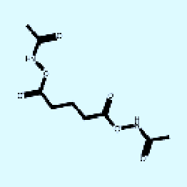 CC(=O)NOC(=O)CCCC(=O)ONC(C)=O